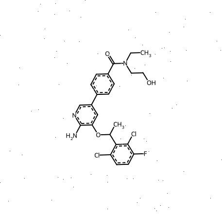 CCN(CCO)C(=O)c1ccc(-c2cnc(N)c(OC(C)c3c(Cl)ccc(F)c3Cl)c2)cc1